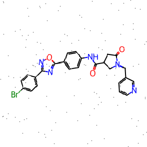 O=C(Nc1ccc(-c2nc(-c3ccc(Br)cc3)no2)cc1)C1CC(=O)N(Cc2cccnc2)C1